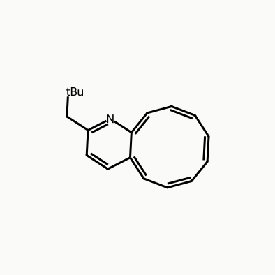 CC(C)(C)Cc1ccc2ccccccccc2n1